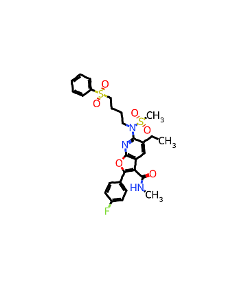 CCc1cc2c(C(=O)NC)c(-c3ccc(F)cc3)oc2nc1N(CCCCS(=O)(=O)c1ccccc1)S(C)(=O)=O